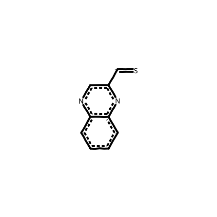 S=[C]c1cnc2ccccc2n1